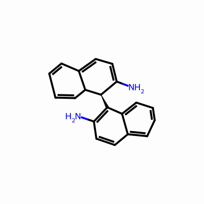 NC1=CC=C2C=CC=CC2[C@@H]1c1c(N)ccc2ccccc12